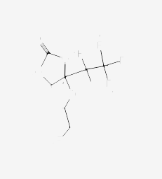 O=C1OCC(OCCF)(C(F)(F)C(F)(F)F)O1